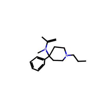 C=C(C)N(C)C1(c2ccccc2)CCN(CCC)CC1